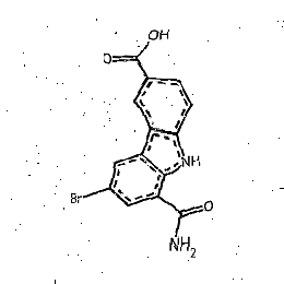 NC(=O)c1cc(Br)cc2c1[nH]c1ccc(C(=O)O)cc12